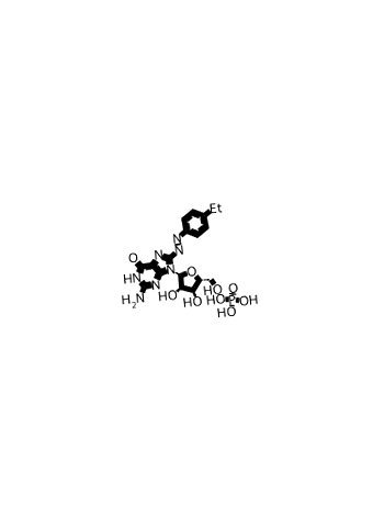 CCc1ccc(/N=N/c2nc3c(=O)[nH]c(N)nc3n2[C@@H]2O[C@H](CO)[C@@H](O)[C@H]2O)cc1.O=P(O)(O)O